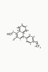 OCc1c(I)cc(-c2ccc(OC(F)(F)F)cc2)c2nccnc12